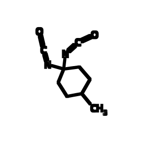 CC1CCC(N=C=O)(N=C=O)CC1